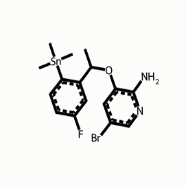 CC(Oc1cc(Br)cnc1N)c1cc(F)cc[c]1[Sn]([CH3])([CH3])[CH3]